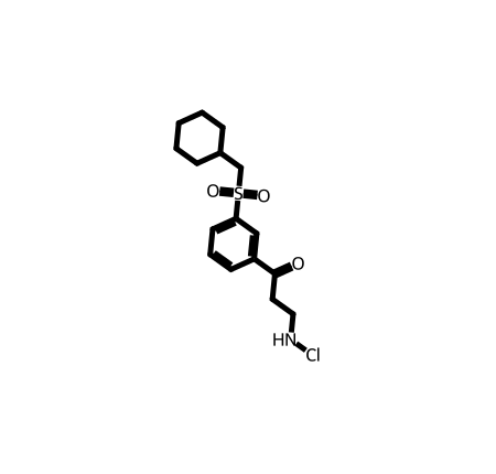 O=C(CCNCl)c1cccc(S(=O)(=O)CC2CCCCC2)c1